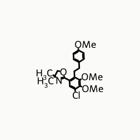 COc1ccc(CCc2c(C3=NC(C)(C)CO3)cc(Cl)c(OC)c2OC)cc1